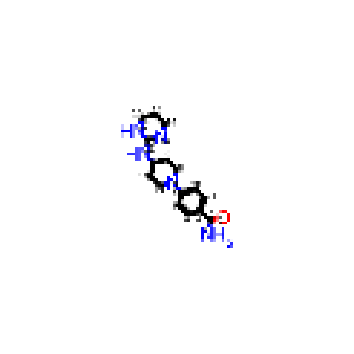 NC(=O)c1ccc(N2CCC(NC3=NCCCN3)CC2)cc1